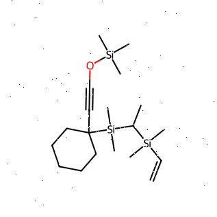 C=C[Si](C)(C)C(C)[Si](C)(C)C1(C#CO[Si](C)(C)C)CCCCC1